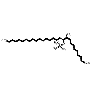 CCCCCCCCCCCCCCCCCC[C@H](C)[C@H](CCCCCCCCCCCCCCCCC=O)O[Si](C)(C)C(C)(C)C